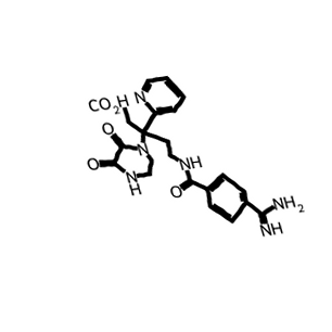 N=C(N)c1ccc(C(=O)NCCC(CC(=O)O)(c2ccccn2)N2CCNC(=O)C2=O)cc1